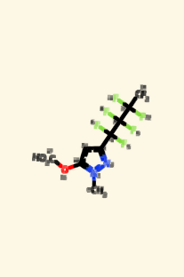 Cn1nc(C(F)(F)C(F)(F)C(F)(F)C(F)(F)F)cc1OC(=O)O